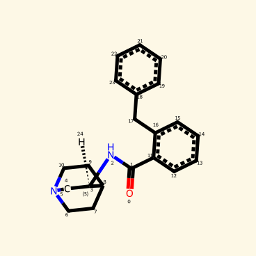 O=C(N[C@@H]1CN2CCC1CC2)c1ccccc1Cc1ccccc1